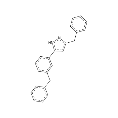 c1ccc(Cc2cc(-c3ccc[n+](Cc4ccccc4)c3)[nH]n2)cc1